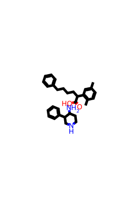 Cc1ccc(C)c(C(CCCCc2ccccc2)C(=O)O)c1.NC1CCNCC1c1ccccc1